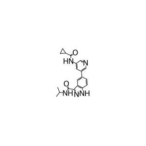 CC(C)NC(=O)c1n[nH]c2ccc(-c3cncc(NC(=O)C4CC4)c3)cc12